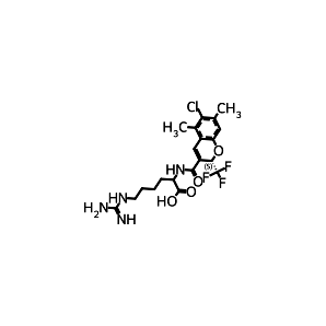 Cc1cc2c(c(C)c1Cl)C=C(C(=O)NC(CCCCNC(=N)N)C(=O)O)[C@@H](C(F)(F)F)O2